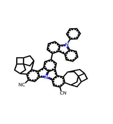 N#Cc1cc2c(c3c1C1CC4CC5CC3CC45C1)c1cc(-c3cccc4c3c3ccccc3n4-c3ccccc3)cc3c4c5c(c(C#N)cc4n2c13)C1CC2CC3CC5CC23C1